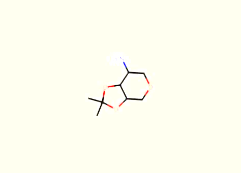 CC1(C)OC2COCC(N)C2O1